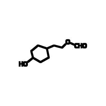 O=COCCC1CCC(O)CC1